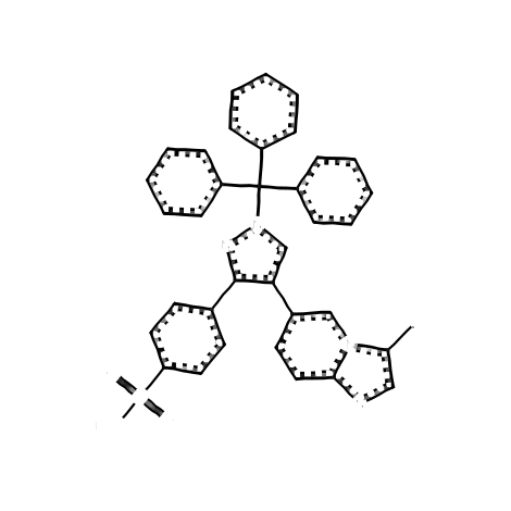 CS(=O)(=O)c1ccc(-c2nn(C(c3ccccc3)(c3ccccc3)c3ccccc3)cc2-c2ccc3ncc(I)n3c2)cc1